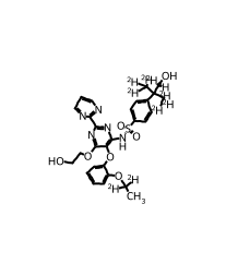 [2H]C([2H])(C)Oc1ccccc1Oc1c(NS(=O)(=O)c2ccc(C(C([2H])([2H])[2H])(C([2H])([2H])[2H])C([2H])([2H])O)cc2)nc(-c2ncccn2)nc1OCCO